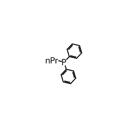 CCCP(c1ccccc1)c1ccccc1